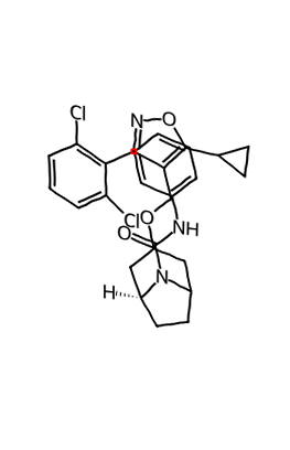 O=C(Nc1ccccc1)N1C2CC[C@H]1CC(OCc1c(-c3c(Cl)cccc3Cl)noc1C1CC1)C2